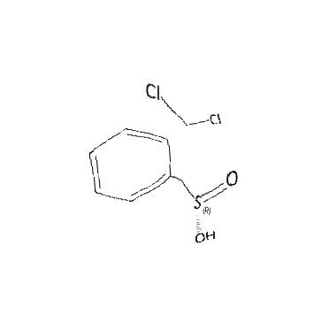 ClCCl.O=[S@](O)c1ccccc1